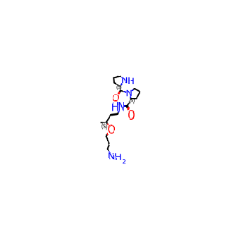 C[C@@H](CCNC(=O)[C@@H]1CCCN1C(=O)[C@@H]1CCCN1)OCCCN